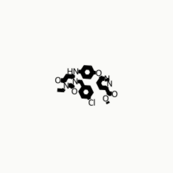 CCn1c(=O)cc(Nc2ccc(Oc3ccc(C(=O)OC)nn3)cc2)n(Cc2ccc(Cl)cc2)c1=O